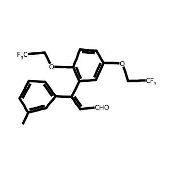 Cc1cccc(C(=CC=O)c2cc(OCC(F)(F)F)ccc2OCC(F)(F)F)c1